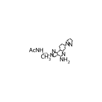 CC(=O)NC(C)CCn1cc2c(N)nc3cc(-n4cccn4)ccc3c2n1